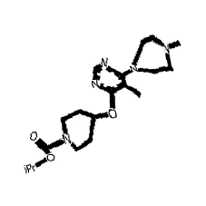 Cc1c(OC2CCN(C(=O)OC(C)C)CC2)ncnc1N1CCN(C)CC1